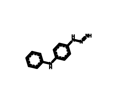 N=NNc1ccc(Nc2ccccc2)cc1